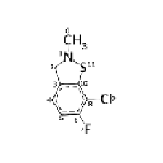 CN1Cc2ccc(F)c(Cl)c2S1